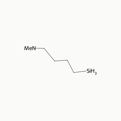 CNCCCC[SiH3]